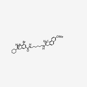 CCN(Cc1cc(C(=O)NCCCCCCNC(=O)Cc2ccc3cc(OC)ccc3c2C)cc(Br)c1N)C1CCCCC1